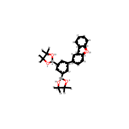 CC1(C)OB(c2cc(B3OC(C)(C)C(C)(C)O3)cc(-c3ccc4oc5ccccc5c4c3)c2)OC1(C)C